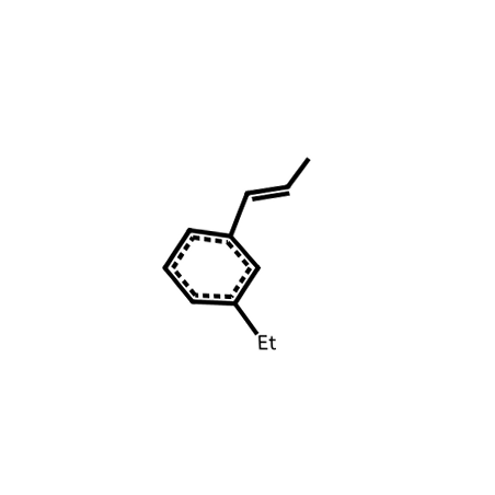 [CH2]Cc1cccc(C=CC)c1